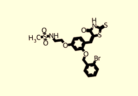 CS(=O)(=O)NCCOc1ccc(C=C2SC(=S)NC2=O)c(OCc2ccccc2Br)c1